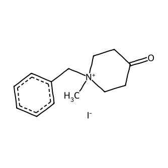 C[N+]1(Cc2ccccc2)CCC(=O)CC1.[I-]